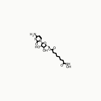 Nc1ccn([C@@H]2O[C@H](COC(=O)CCCCCCC(=O)NO)[C@@H](O)[C@@H]2O)c(=O)n1